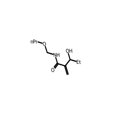 C=C(C(=O)NCOCCC)C(O)CC